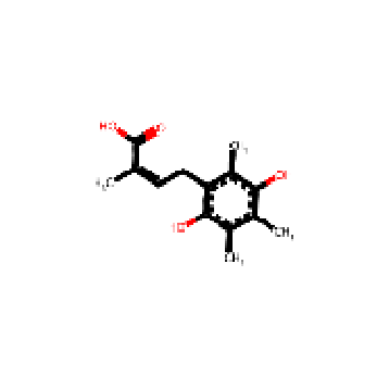 CC(=CCc1c(C)c(O)c(C)c(C)c1O)C(=O)O